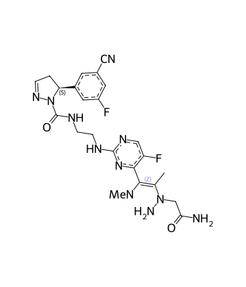 CN/C(=C(/C)N(N)CC(N)=O)c1nc(NCCNC(=O)N2N=CC[C@H]2c2cc(F)cc(C#N)c2)ncc1F